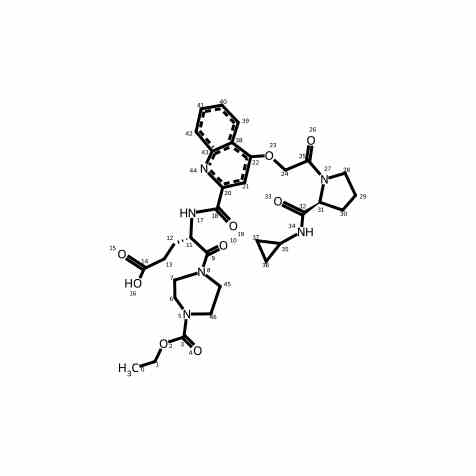 CCOC(=O)N1CCN(C(=O)[C@H](CCC(=O)O)NC(=O)c2cc(OCC(=O)N3CCC[C@H]3C(=O)NC3CC3)c3ccccc3n2)CC1